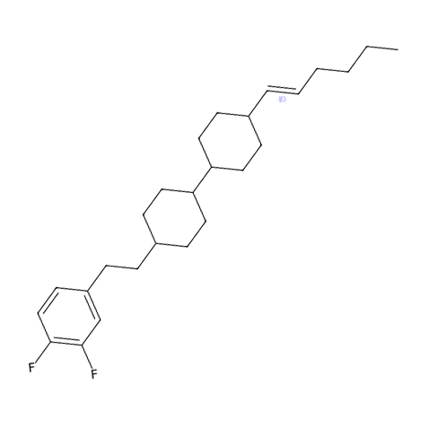 CCCC/C=C/C1CCC(C2CCC(CCc3ccc(F)c(F)c3)CC2)CC1